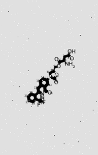 N[C@@H](CC(=O)O)C(=O)OC[C@@H]1CN(c2ccc3cc(-c4ccccc4C(F)(F)F)[nH]c(=O)c3c2)C(=O)O1